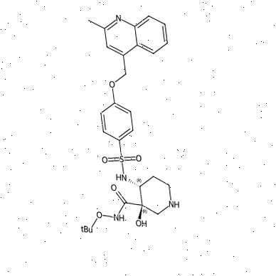 Cc1cc(COc2ccc(S(=O)(=O)N[C@@H]3CCNC[C@]3(O)C(=O)NOC(C)(C)C)cc2)c2ccccc2n1